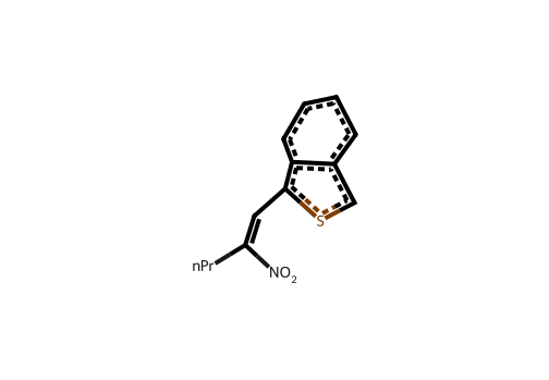 CCC/C(=C/c1scc2ccccc12)[N+](=O)[O-]